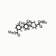 COC(=O)c1ccc(C)c(-c2cnc(N3CCN(C(=O)OC(C)(C)C)CC3)c(C#N)c2)c1